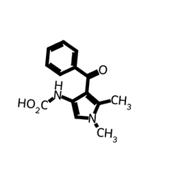 Cc1c(C(=O)c2ccccc2)c(NC(=O)O)cn1C